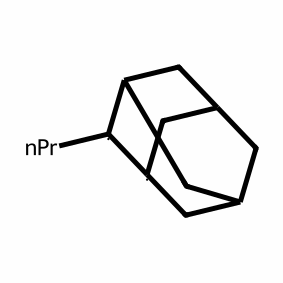 CCC[C]1[C]2CC3CC(C2)CC1C3